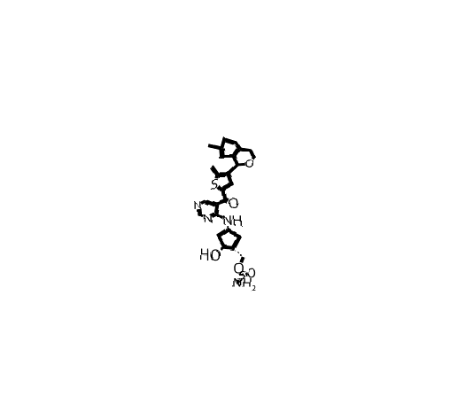 Cc1ccc2c(c1)C(c1cc(C(=O)c3cncnc3N[C@@H]3C[C@H](COS(N)=O)[C@@H](O)C3)sc1C)OCC2